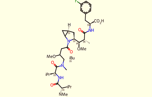 CC[C@H](C)C(C(CC(=O)N1C2C[C@H]2C[C@H]1[C@H](OC)[C@@H](C)C(=O)N[C@@H](Cc1cccc(F)c1)C(=O)O)OC)N(C)C(=O)[C@@H](NC(=O)[C@@H](NC)C(C)C)C(C)C